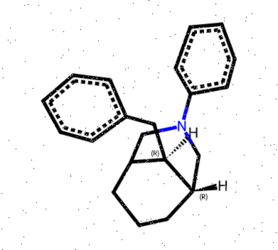 c1ccc(C[C@@H]2C3CCC[C@H]2CN(c2ccccc2)C3)cc1